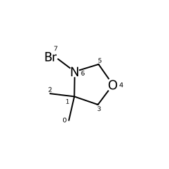 CC1(C)COCN1Br